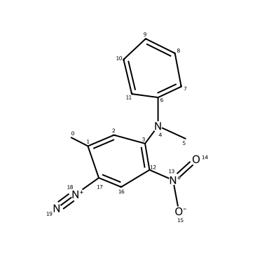 Cc1cc(N(C)c2ccccc2)c([N+](=O)[O-])cc1[N+]#N